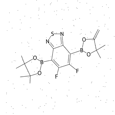 C=C1OB(c2c(F)c(F)c(B3OC(C)(C)C(C)(C)O3)c3nsnc23)OC1(C)C